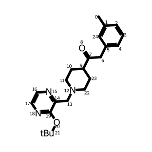 Cc1cccc(CC(=O)C2CCN(Cc3nccnc3OC(C)(C)C)CC2)c1